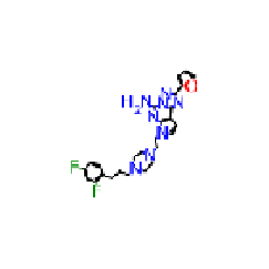 Nc1nc2c(ccn2CCN2CCN(CCCc3ccc(F)cc3F)CC2)c2nc(-c3ccco3)nn12